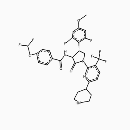 COc1cc(F)c([C@@H]2CN(c3nc(C4CCNCC4)ccc3C(F)(F)F)C(=O)C2NC(=O)c2ccc(OC(F)F)cc2)c(F)c1